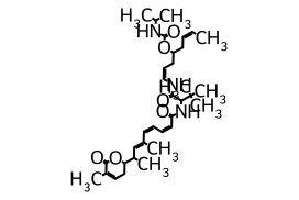 C/C=C\CC(C/C=C\NC(=O)C(NC(=O)\C=C/C=C\C(C)=C\C(C)C1CC=C(C)C(=O)O1)C(C)(C)C)OC(=O)NC(C)C